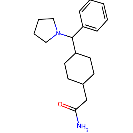 NC(=O)CC1CCC(C(c2ccccc2)N2CCCC2)CC1